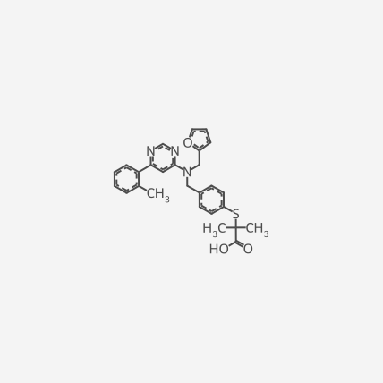 Cc1ccccc1-c1cc(N(Cc2ccc(SC(C)(C)C(=O)O)cc2)Cc2ccco2)ncn1